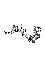 COc1cnc2cccc(CC(=O)NCC[C@@H]3CN(C4=COC=C(C5=CC=CCC5)O4)C(=O)O3)c2n1